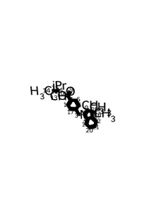 CC1=[N+](Cc2ccc(C(=O)OCC(C)(C)C(C)C)cc2)c2ccccc2C1(C)C